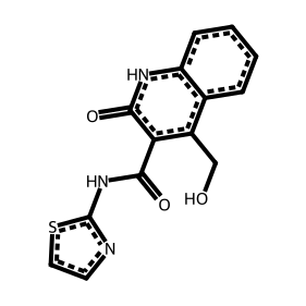 O=C(Nc1nccs1)c1c(CO)c2ccccc2[nH]c1=O